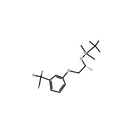 C[C@H](COc1cccc(C(F)(F)F)c1)O[Si](C)(C)C(C)(C)C